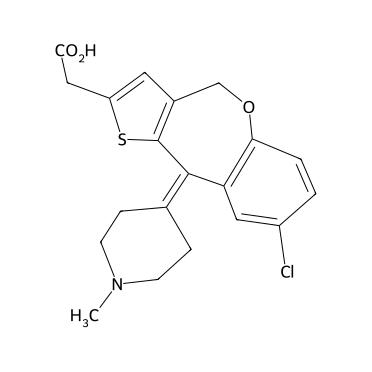 CN1CCC(=C2c3cc(Cl)ccc3OCc3cc(CC(=O)O)sc32)CC1